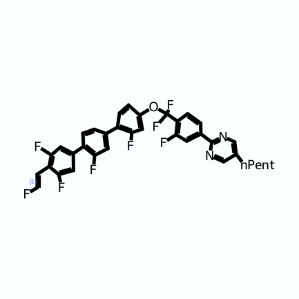 CCCCCc1cnc(-c2ccc(C(F)(F)Oc3ccc(-c4ccc(-c5cc(F)c(/C=C/F)c(F)c5)c(F)c4)c(F)c3)c(F)c2)nc1